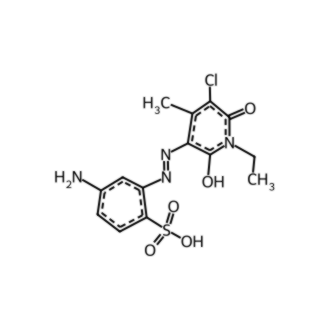 CCn1c(O)c(N=Nc2cc(N)ccc2S(=O)(=O)O)c(C)c(Cl)c1=O